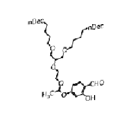 CCCCCCCCCCCCCCOCC(COCCCCCCCCCCCCCC)OCCOC(C)Oc1ccc(C=O)c(O)c1